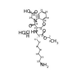 CCOC(=O)[C@H](CCCCCCCN)NC1COc2ccccc2N(CC(=O)O)C1=O.Cl.Cl